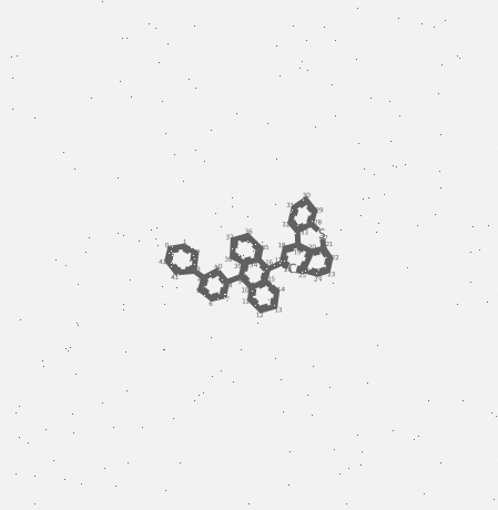 c1ccc(-c2cccc(-c3c4ccccc4c(-c4cc5c6c(cccc6c4)Sc4ccccc4-5)c4ccccc34)c2)cc1